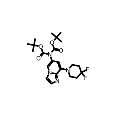 CC(C)(C)OC(=O)N(C(=O)OC(C)(C)C)c1cc(N2CCC(F)(F)CC2)c2nccn2c1